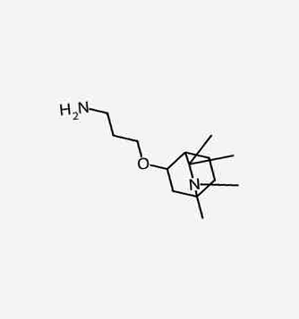 CN1C2(C)CCC(C(OCCCN)C2)C1(C)C